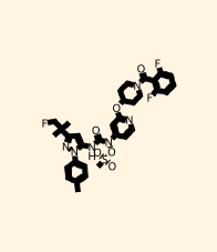 Cc1ccc(-n2nc(C(C)(C)CF)cc2NC(=O)N(OS(C)(=O)=O)c2ccnc(OC3CCN(C(=O)c4c(F)cccc4F)CC3)c2)cc1